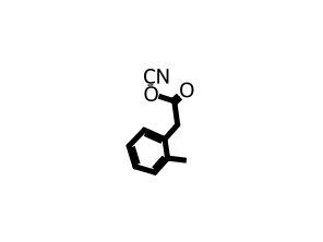 Cc1ccccc1CC(=O)OC#N